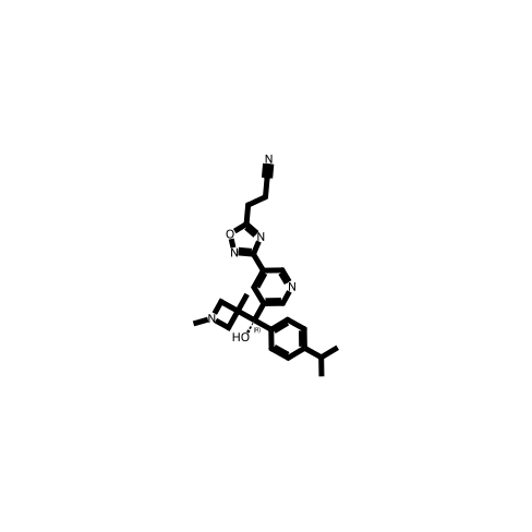 CC(C)c1ccc([C@](O)(c2cncc(-c3noc(CCC#N)n3)c2)C2(C)CN(C)C2)cc1